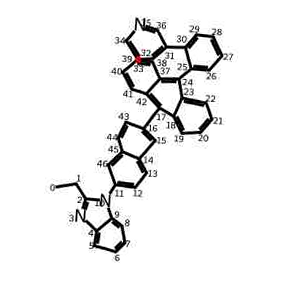 CCc1nc2ccccc2n1-c1ccc2cc(-c3c4ccccc4c(-c4ccccc4-c4cccnc4)c4ccccc34)ccc2c1